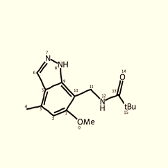 COc1cc(C)c2cn[nH]c2c1CNC(=O)C(C)(C)C